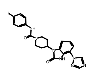 O=C(Nc1ccc(I)cc1)N1CCC(n2c(=O)[nH]c3c(-n4cncn4)cccc32)CC1